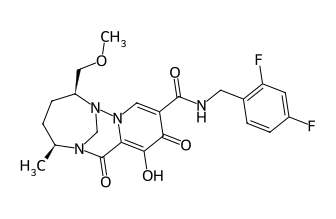 COC[C@@H]1CC[C@H](C)N2CN1n1cc(C(=O)NCc3ccc(F)cc3F)c(=O)c(O)c1C2=O